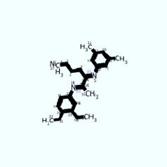 CCCCC(=N\c1cc(C)cc(C)c1)/C(C)=N/c1ccc(CC)c(CC)c1.[Ni]